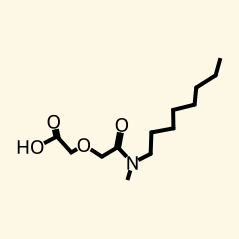 CCCCCCCCN(C)C(=O)COCC(=O)O